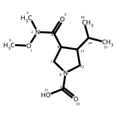 CON(C)C(=O)C1CN(C(=O)O)CC1C(C)C